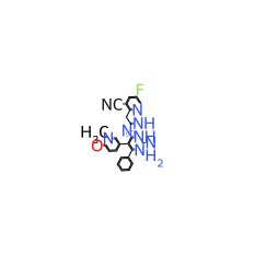 Cn1cc(-c2c(-c3ccccc3)nc(N)[nH]/c2=N\C(=N)Cc2ncc(F)cc2C#N)ccc1=O